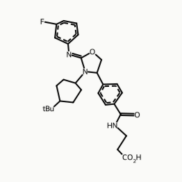 CC(C)(C)C1CCC(N2/C(=N/c3cccc(F)c3)OCC2c2ccc(C(=O)NCCC(=O)O)cc2)CC1